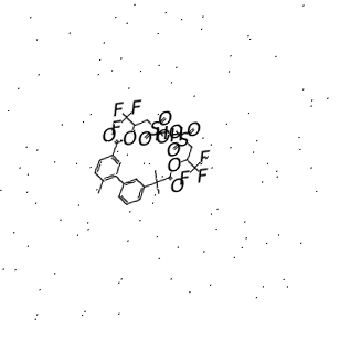 Cc1ccc(C(=O)OC(CS(=O)(=O)O)C(F)(F)F)cc1-c1cccc(C(C)(C)C(=O)OC(CS(=O)(=O)O)C(F)(F)F)c1